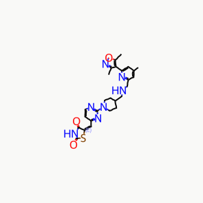 Cc1cc(CNCC2CCN(c3nccc(/C=C4/SC(=O)NC4=O)n3)CC2)nc(-c2c(C)noc2C)c1